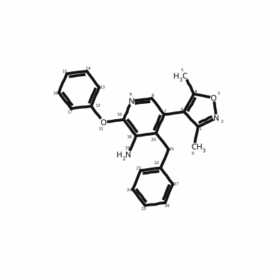 Cc1noc(C)c1-c1cnc(Oc2ccccc2)c(N)c1Cc1ccccc1